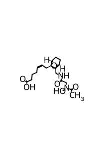 CC(=O)N(O)CC(=O)NC[C@H]1[C@@H](C/C=C\CCCC(=O)O)[C@H]2CC[C@@H]1O2